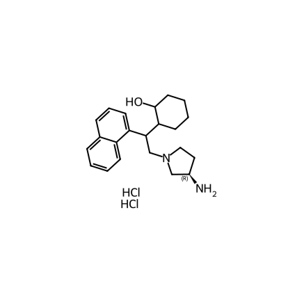 Cl.Cl.N[C@@H]1CCN(CC(c2cccc3ccccc23)C2CCCCC2O)C1